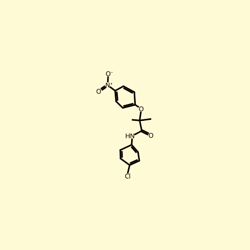 CC(C)(Oc1ccc([N+](=O)[O-])cc1)C(=O)Nc1ccc(Cl)cc1